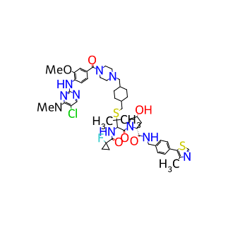 CNc1nc(Nc2ccc(C(=O)N3CCN(CC4CCC(CSC(C)(C)C(NC(=O)C5(F)CC5)C(=O)N5C[C@H](O)C[C@@H]5C(=O)NCc5ccc(-c6scnc6C)cc5)CC4)CC3)cc2OC)ncc1Cl